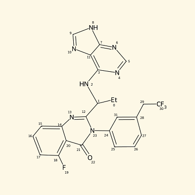 CCC(Nc1ncnc2[nH]cnc12)c1nc2cccc(F)c2c(=O)n1-c1cccc(CC(F)(F)F)c1